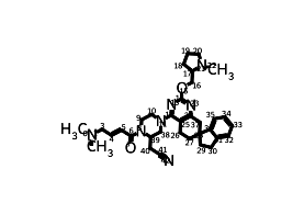 CN(C)C/C=C/C(=O)N1CCN(c2nc(OCC3CCCN3C)nc3c2CCC2(CCc4ccccc42)C3)CC1CC#N